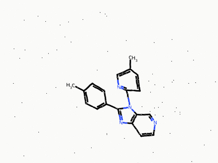 Cc1ccc(-c2nc3ccncc3n2-c2ccc(C)cn2)cc1